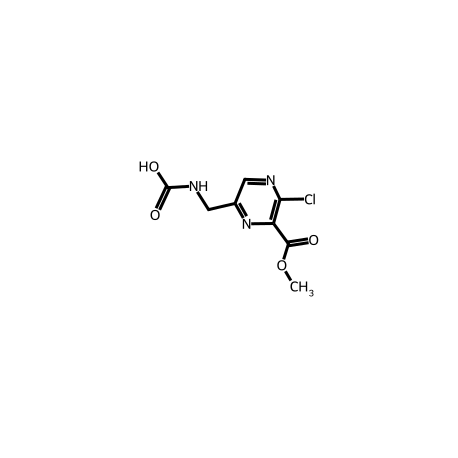 COC(=O)c1nc(CNC(=O)O)cnc1Cl